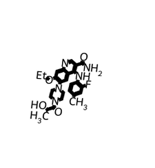 CCOc1cc2ncc(C(N)=O)c(Nc3ccc(C)cc3F)c2cc1N1CCN(C(=O)[C@@H](C)O)CC1